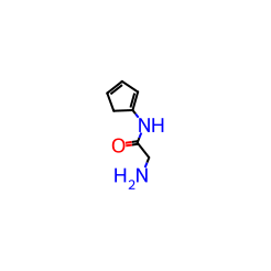 NCC(=O)NC1=CC=CC1